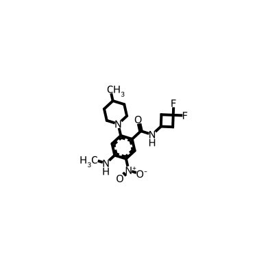 CNc1cc(N2CCC(C)CC2)c(C(=O)NC2CC(F)(F)C2)cc1[N+](=O)[O-]